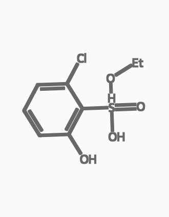 CCO[SH](=O)(O)c1c(O)cccc1Cl